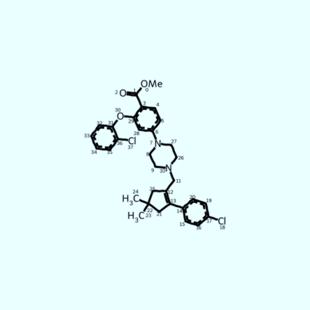 COC(=O)c1ccc(N2CCN(CC3=C(c4ccc(Cl)cc4)CC(C)(C)C3)CC2)cc1Oc1ccccc1Cl